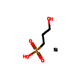 O=S(=O)(O)CCCO.[Si]